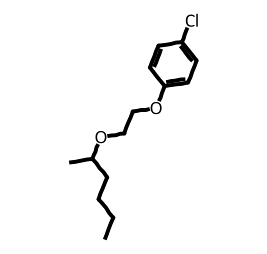 CCCCC(C)OCCOc1ccc(Cl)cc1